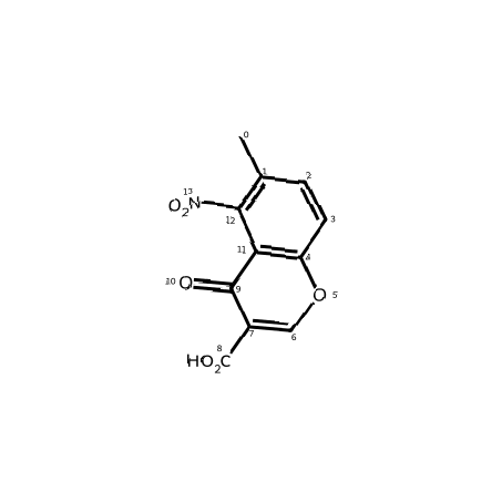 Cc1ccc2occ(C(=O)O)c(=O)c2c1[N+](=O)[O-]